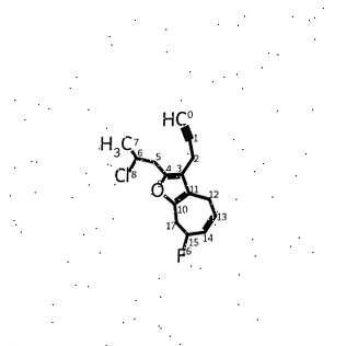 C#CCc1c(CC(C)Cl)oc2c1CC=CC(F)C2